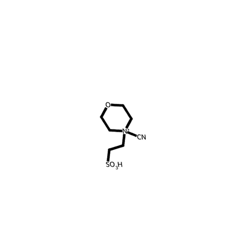 N#C[N+]1(CCS(=O)(=O)O)CCOCC1